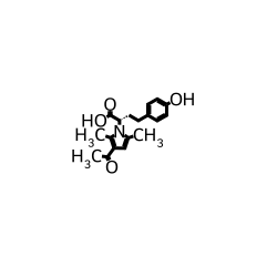 CC(=O)c1cc(C)n([C@@H](CCc2ccc(O)cc2)C(=O)O)c1C